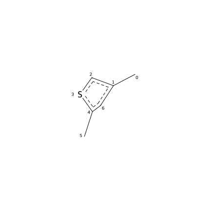 Cc1csc(C)c1